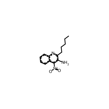 CCCCCc1nc2ccccc2c([N+](=O)[O-])c1N